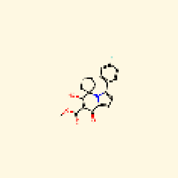 COC(=O)C1=C(O)C2(CCCC2)n2c(ccc2-c2ccc(F)cc2)C1=O